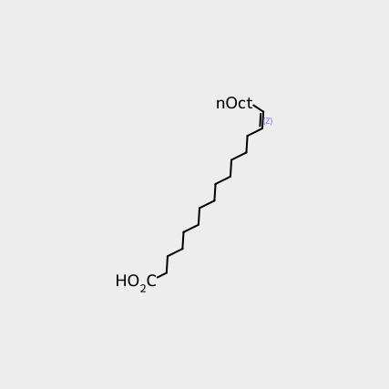 CCCCCCCC/C=C\CCCCCCCCCCCCC(=O)O